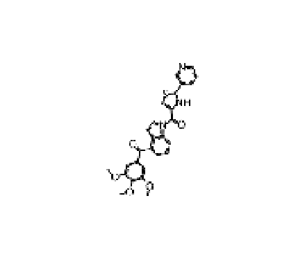 COc1cc(C(=O)c2cccc3c2ccn3C(=O)C2=CSC(c3cccnc3)N2)cc(OC)c1OC